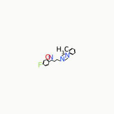 Cc1ccccc1N1CCN(CCCc2noc3cc(F)ccc23)CC1